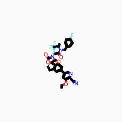 CCOc1cc(-c2ccc3c(c2)CC[C@@]32OC(=O)N(CC(=O)N(Cc3ccc(F)cc3)C(C)C(F)(F)F)C2=O)cnc1C#N